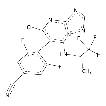 C[C@H](Nc1c(-c2c(F)cc(C#N)cc2F)c(Cl)nc2ncnn12)C(F)(F)F